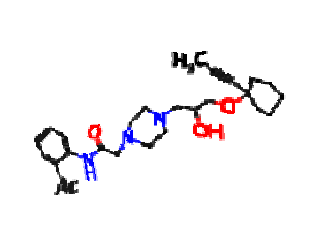 CC#CC1(OCC(O)CN2CCN(CC(=O)Nc3ccccc3C(C)=O)CC2)CCCCC1